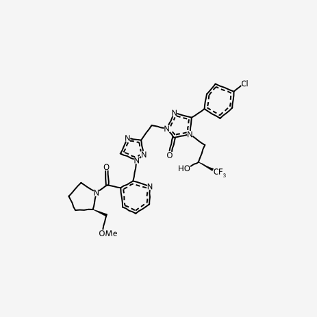 COC[C@H]1CCCN1C(=O)c1cccnc1-n1cnc(Cn2nc(-c3ccc(Cl)cc3)n(C[C@H](O)C(F)(F)F)c2=O)n1